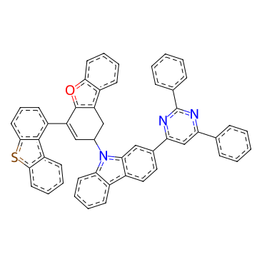 C1=C(c2cccc3sc4ccccc4c23)c2oc3ccccc3c2CC1n1c2ccccc2c2ccc(-c3cc(-c4ccccc4)nc(-c4ccccc4)n3)cc21